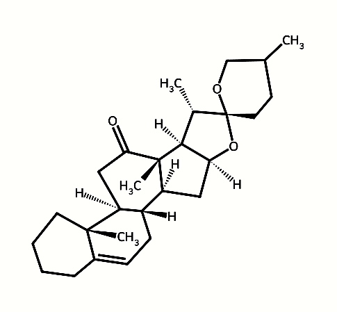 CC1CC[C@@]2(OC1)O[C@H]1C[C@H]3[C@@H]4CC=C5CCCC[C@]5(C)[C@H]4CC(=O)[C@]3(C)[C@H]1[C@@H]2C